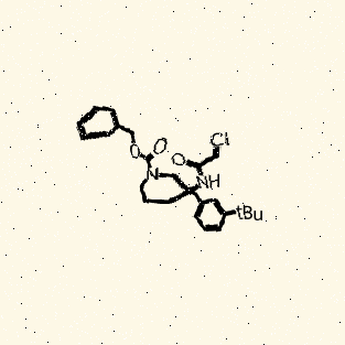 CC(C)(C)c1cccc(C2(NC(=O)CCl)CCCN(C(=O)OCc3ccccc3)C2)c1